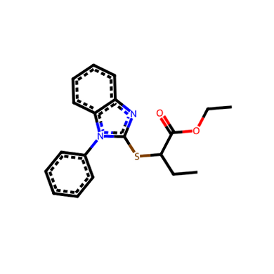 CCOC(=O)C(CC)Sc1nc2ccccc2n1-c1ccccc1